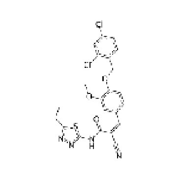 CCc1nnc(NC(=O)C(C#N)=Cc2ccc(OCc3ccc(Cl)cc3Cl)c(OC)c2)s1